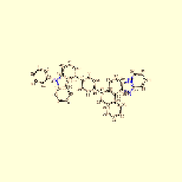 c1ccc(-n2c3ccccc3c3c(-c4ccc(-c5cc6ccccc6c6c5ccc5c6nc6ccccn65)cc4)cccc32)cc1